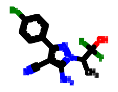 CC(n1nc(-c2ccc(Br)cc2)c(C#N)c1N)C(O)(F)F